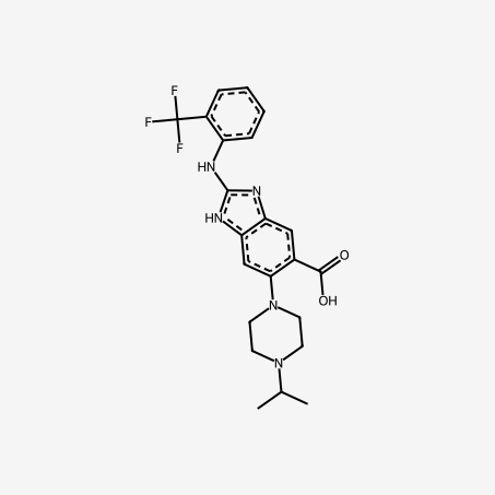 CC(C)N1CCN(c2cc3[nH]c(Nc4ccccc4C(F)(F)F)nc3cc2C(=O)O)CC1